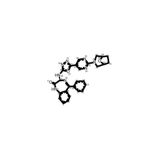 O=C1Nc2ccccc2C(c2ccccc2)=N[C@@H]1Nc1nnc(-c2cnc(N3CC4CCC(C3)O4)nc2)o1